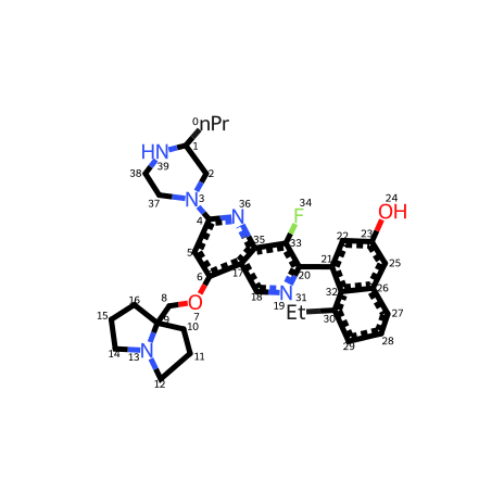 CCCC1CN(c2cc(OCC34CCCN3CCC4)c3cnc(-c4cc(O)cc5cccc(CC)c45)c(F)c3n2)CCN1